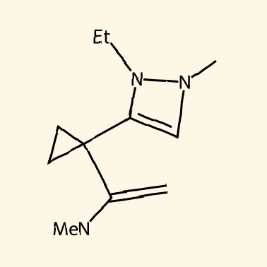 C=C(NC)C1(c2cn(C)n2CC)CC1